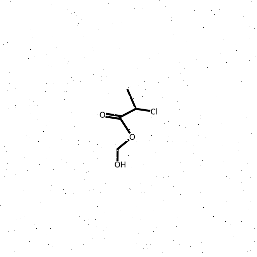 CC(Cl)C(=O)OCO